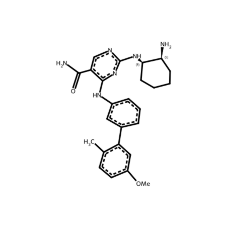 COc1ccc(C)c(-c2cccc(Nc3nc(N[C@@H]4CCCC[C@@H]4N)ncc3C(N)=O)c2)c1